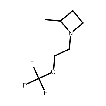 CC1CCN1CCOC(F)(F)F